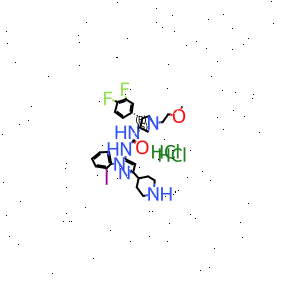 COCCN1C[C@@H](NC(=O)Nc2cc(C3CCNCC3)nn2-c2ccccc2I)[C@H](c2ccc(F)c(F)c2)C1.Cl.Cl